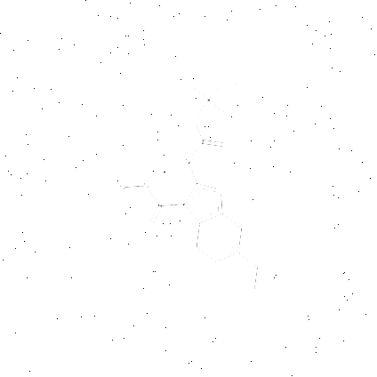 CCN1CCc2c(sc(NC(=O)OC(C)(C)C)c2C(=O)NN)C1